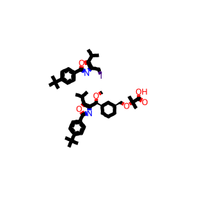 CC(C)c1oc(-c2ccc(C(C)(C)C)cc2)nc1CI.COC(c1nc(-c2ccc(C(C)(C)C)cc2)oc1C(C)C)[C@@H]1CCC[C@H](COC(C)(C)C(=O)O)C1